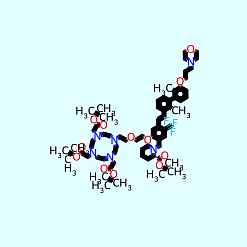 Cc1c(/C=C/c2cc(OCCOCCN3CCN(CC(=O)OC(C)(C)C)CCN(CC(=O)OC(C)(C)C)CCN(CC(=O)OC(C)(C)C)CC3)c(CN3CCCC[C@H]3C(=O)OC(C)(C)C)cc2C(F)(F)F)cccc1-c1cccc(OCCCN2CCOCC2)c1C